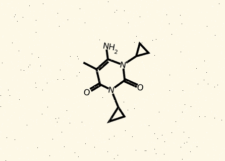 Cc1c(N)n(C2CC2)c(=O)n(C2CC2)c1=O